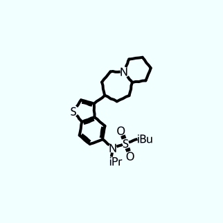 CCC(C)S(=O)(=O)N(c1ccc2scc(C3CCC4CCCCN4CC3)c2c1)C(C)C